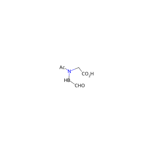 CC(=O)N(BC=O)CC(=O)O